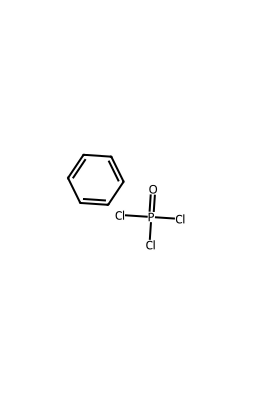 O=P(Cl)(Cl)Cl.c1ccccc1